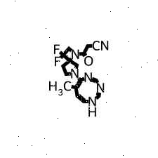 Cc1cc[nH]cncnc1N1CCC2(C1)N(C(=O)CC#N)CC2(F)F